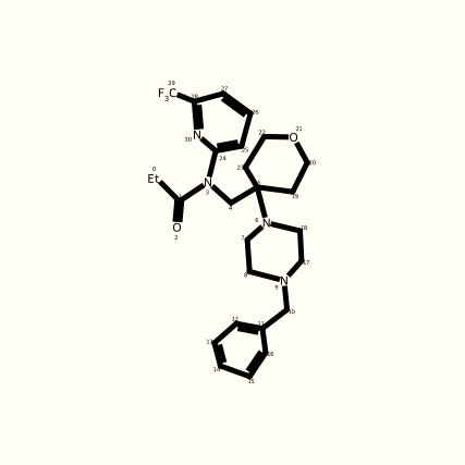 CCC(=O)N(CC1(N2CCN(Cc3ccccc3)CC2)CCOCC1)c1cccc(C(F)(F)F)n1